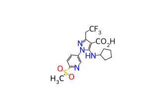 CS(=O)(=O)c1ccc(-n2nc(CC(F)(F)F)c(C(=O)O)c2NC2CCCC2)cn1